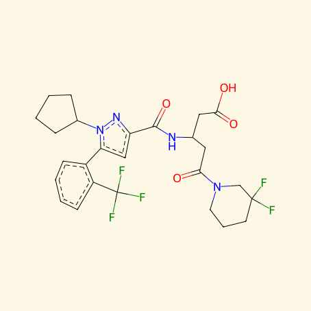 O=C(O)CC(CC(=O)N1CCCC(F)(F)C1)NC(=O)c1cc(-c2ccccc2C(F)(F)F)n(C2CCCC2)n1